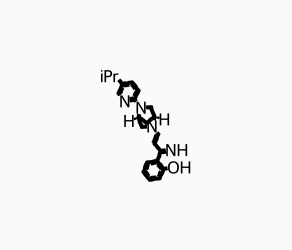 CC(C)c1ccc(N2C[C@H]3C[C@@H]2CN3/C=C/C(=N)c2ccccc2O)nc1